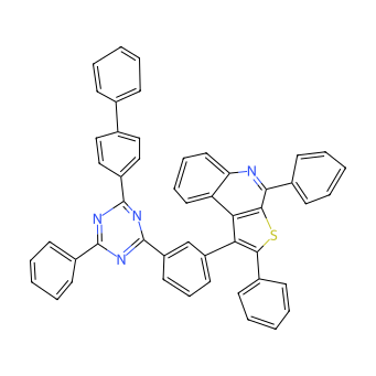 c1ccc(-c2ccc(-c3nc(-c4ccccc4)nc(-c4cccc(-c5c(-c6ccccc6)sc6c(-c7ccccc7)nc7ccccc7c56)c4)n3)cc2)cc1